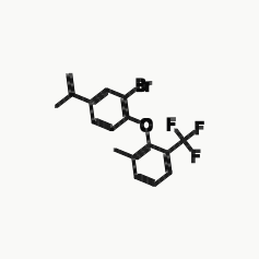 C=C(C)c1ccc(Oc2c(C)cccc2C(F)(F)F)c(Br)c1